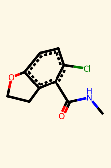 CNC(=O)c1c(Cl)ccc2c1CCO2